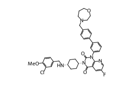 COc1ccc(CN[C@H]2CC[C@@H](n3c(=O)c4cc(F)cnc4n(-c4cccc(-c5ccc(CN6CCCOCC6)cc5)c4)c3=O)CC2)cc1Cl